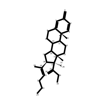 C=C1C=C[C@@]2(C)C(=C1)CCC1C2CC[C@@]2(C)C1C[C@H](/C(C)=C/CCC)[C@]2(I)C(=C)CC